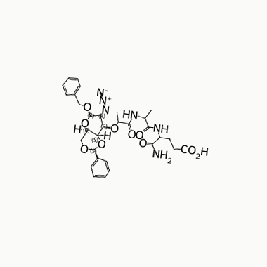 CC(NC(=O)C(C)O[C@@H]1[C@@H](N=[N+]=[N-])[C@H](OCc2ccccc2)O[C@@H]2CO[C@H](c3ccccc3)O[C@@H]12)C(=O)NC(CCC(=O)O)C(N)=O